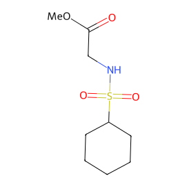 COC(=O)CNS(=O)(=O)C1CCCCC1